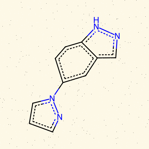 c1cnn(-c2ccc3[nH]ncc3c2)c1